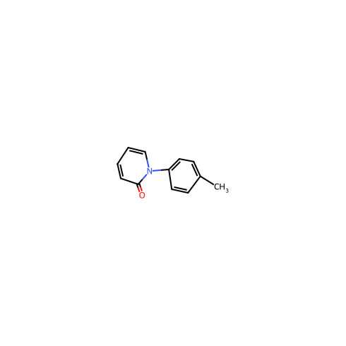 Cc1ccc(-n2ccccc2=O)cc1